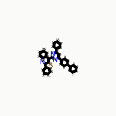 C1=CC(c2ccccc2)CC=C1c1cc(-c2ccccc2)nc(-c2c3ccccc3nc3c2sc2ccccc23)n1